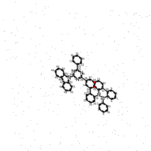 c1ccc(B2c3ccccc3-c3ccccc3N2c2ccccc2-c2cccc(-c3nc(-c4ccccc4)nc(-n4c5ccccc5c5ccccc54)n3)c2)cc1